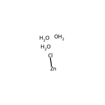 O.O.O.[Cl][Zn]